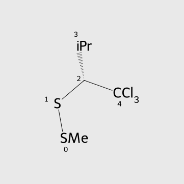 CSS[C@H](C(C)C)C(Cl)(Cl)Cl